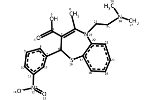 CC1=C(C(=O)O)C(c2cccc([N+](=O)[O-])c2)Sc2ccccc2N1CCN(C)C